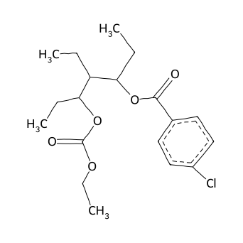 CCOC(=O)OC(CC)C(CC)C(CC)OC(=O)c1ccc(Cl)cc1